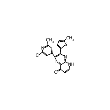 Cc1cc(-c2nc3c(=O)cc[nH]c3nc2-c2ccc(C)s2)cc(Cl)n1